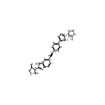 C=C1CCN[C@@H]1c1nc2ccc(C#Cc3ccc(-c4cnc([C@@H]5CCCN5)[nH]4)cc3)cc2[nH]1